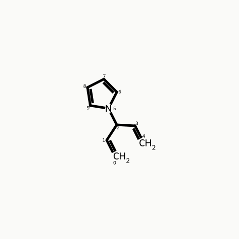 C=CC(C=C)n1cccc1